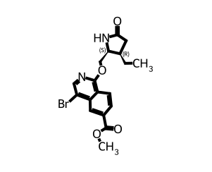 CC[C@@H]1CC(=O)N[C@@H]1COc1ncc(Br)c2cc(C(=O)OC)ccc12